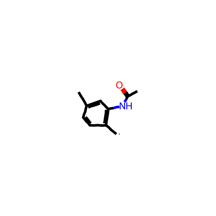 [CH2]c1ccc(C)cc1NC(C)=O